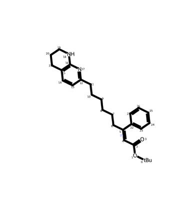 CC(C)(C)OC(=O)/C=C(/CCCCCCc1ccc2c(n1)NCCC2)c1ccccc1